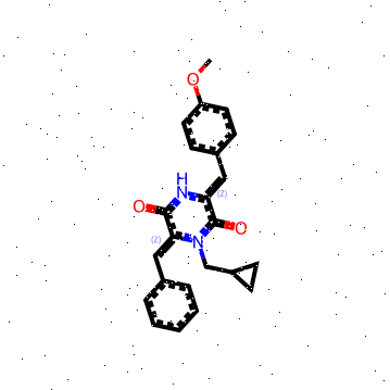 COc1ccc(/C=c2\[nH]c(=O)/c(=C/c3ccccc3)n(CC3CC3)c2=O)cc1